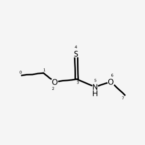 CCOC(=S)NOC